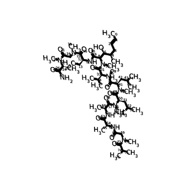 C/C=C/C[C@@H](C)[C@H](O)C(C(=O)N[C@@H](CC)C(=O)N(C)CC(=O)N(C)[C@H](C)C(N)=O)N(C)C(=O)[C@H](C(C)C)N(C)C(=O)[C@@H](CC(C)C)N(C)C(=O)[C@@H](CC(C)C)N(C)C(=O)[C@H](C)NC(=O)[C@@H](C)NC(=O)CN(C)C(=O)C(C)C